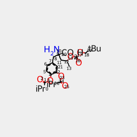 CC(C)C(=O)Oc1ccc(CC(N)(C[C@H](C)OC(=O)OCC(C)(C)C)C(=O)O)cc1OC(=O)C(C)C